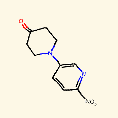 O=C1CCN(c2ccc([N+](=O)[O-])nc2)CC1